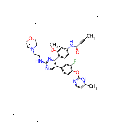 CC#CC(=O)Nc1ccc(-c2nc(NCCN3CCOCC3)ncc2-c2ccc(Oc3nccc(C)n3)c(F)c2)c(OC)c1